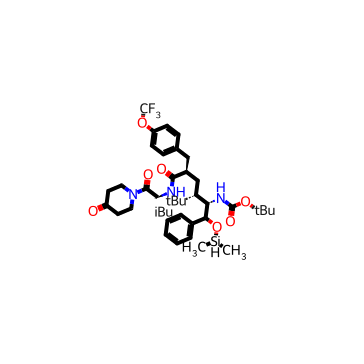 CC[C@H](C)[C@H](NC(=O)[C@@H](Cc1ccc(OC(F)(F)F)cc1)C[C@H]([C@H](NC(=O)OC(C)(C)C)C(O[SiH](C)C)c1ccccc1)C(C)(C)C)C(=O)N1CCC(=O)CC1